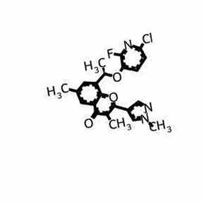 Cc1cc([C@@H](C)Oc2ccc(Cl)nc2F)c2oc(-c3cnn(C)c3)c(C)c(=O)c2c1